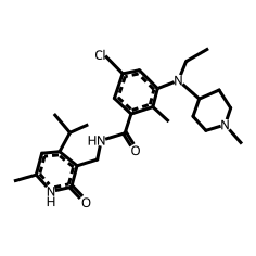 CCN(c1cc(Cl)cc(C(=O)NCc2c(C(C)C)cc(C)[nH]c2=O)c1C)C1CCN(C)CC1